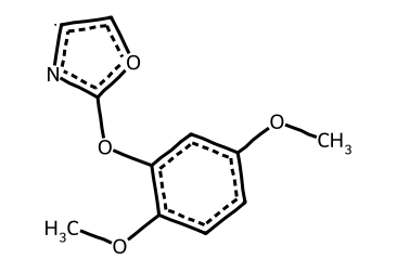 COc1ccc(OC)c(Oc2n[c]co2)c1